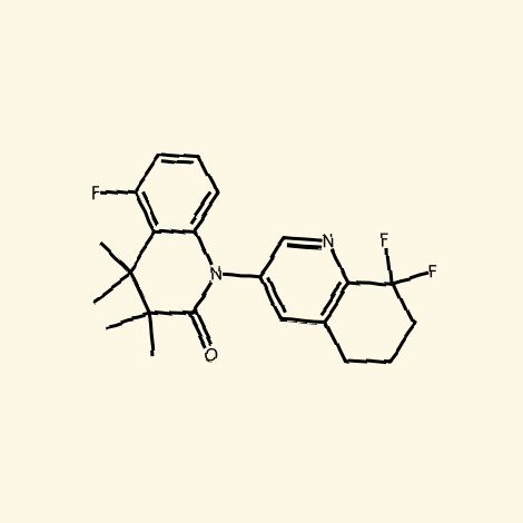 CC1(C)C(=O)N(c2cnc3c(c2)CCCC3(F)F)c2cccc(F)c2C1(C)C